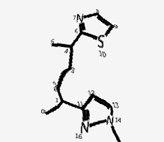 CC(CCC(C)c1nccs1)c1ccn(C)n1